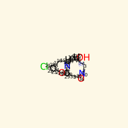 CN1CC/C=C/[C@H](O)[C@@H]2CC[C@H]2CN2CCCCc3cc(Cl)ccc3COc3ccc(cc32)CCC1=O